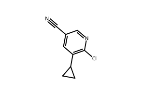 N#Cc1cnc(Cl)c(C2CC2)c1